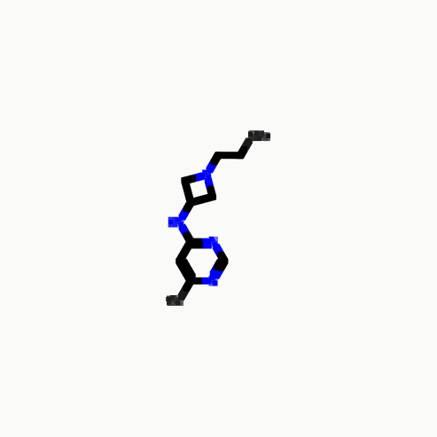 CSCCN1CC(Nc2cc(C(C)(C)C)ncn2)C1